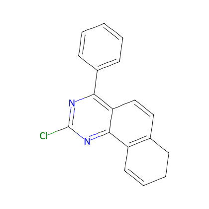 Clc1nc(-c2ccccc2)c2ccc3c(c2n1)C=CCC3